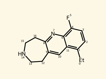 CCc1ccc(F)c2nc3c(cc12)CCNCC3